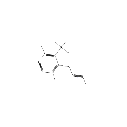 [O]c1ccc(Cl)c(C(F)(F)F)c1C/C=C/Cl